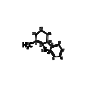 CC1=c2sc3ccccc3c2=CCC1